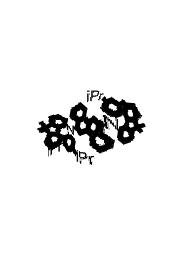 Cc1cc(C(C)C)cc(N(c2cccc3c2-c2ccccc2C3(C)C)c2cc3c4ccccc4c(N(c4cc(C(C)C)cc(C(C)C)c4)c4cccc5c4-c4ccccc4C5(C)C)cc3c3ccccc23)c1